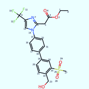 CCOC(=O)Cc1nc(C(F)(F)F)cn1-c1ccc(-c2ccc(CO)c(S(C)(=O)=O)c2)cc1